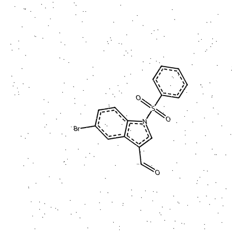 O=Cc1cn(S(=O)(=O)c2ccccc2)c2ccc(Br)cc12